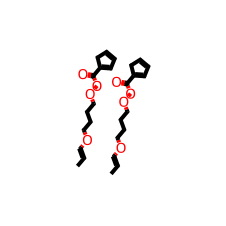 CC=COCCCCOOC(=O)C1=CC=CC1.CC=COCCCCOOC(=O)C1=CC=CC1